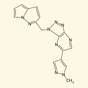 Cn1cc(-c2cnc3nnn(Cc4ccc5cccn5n4)c3n2)cn1